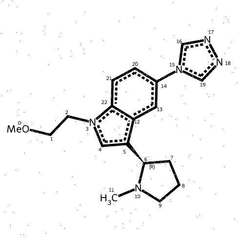 COCCn1cc([C@H]2CCCN2C)c2cc(-n3cnnc3)ccc21